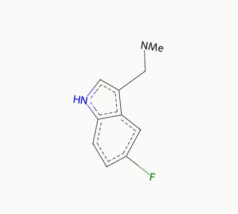 CNCc1c[nH]c2ccc(F)cc12